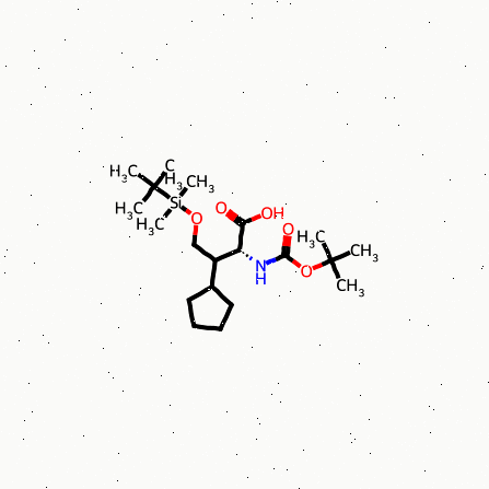 CC(C)(C)OC(=O)N[C@@H](C(=O)O)C(CO[Si](C)(C)C(C)(C)C)C1CCCC1